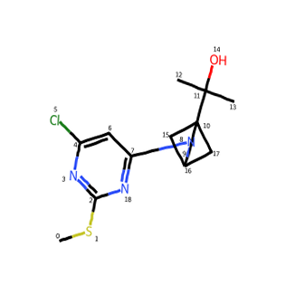 CSc1nc(Cl)cc(N2CC3(C(C)(C)O)CC2C3)n1